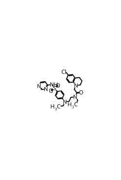 CCN(CCN(CC)c1ccc(S(=O)(=O)Nc2ccncn2)cc1)C(=O)CN1CCCc2cc(Cl)ccc21